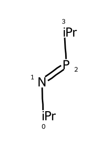 CC(C)/N=P/C(C)C